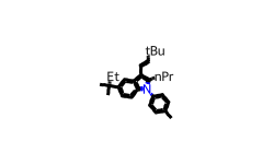 CCCc1c(C=CC(C)(C)C)c2cc(C(C)(C)CC)ccc2n1-c1ccc(C)cc1